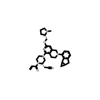 C=CC(=O)N1CCN(c2nc(OC[C@@H]3CCCN3C)cc3c2CCN(c2cccc4c2C2CC2C4)C3)C[C@@H]1CC#N